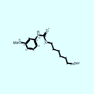 CCCCCCCCCCCCCCCCOC(=O)Nc1cccc(OC)c1